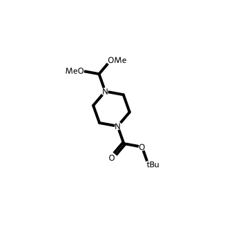 COC(OC)N1CCN(C(=O)OC(C)(C)C)CC1